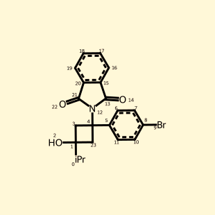 CC(C)C1(O)CC(c2ccc(Br)cc2)(N2C(=O)c3ccccc3C2=O)C1